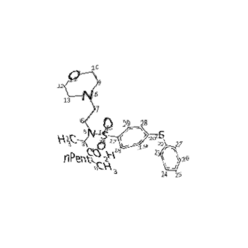 CCCCCC.C[C@H](C(=O)O)N(CCN1CCOCC1)S(=O)(=O)c1ccc(Sc2ccccc2)cc1